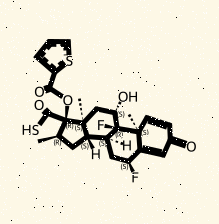 C[C@@H]1C[C@H]2[C@@H]3C[C@H](F)C4=CC(=O)C=C[C@]4(C)[C@@]3(F)[C@@H](O)C[C@]2(C)[C@@]1(OC(=O)c1cccs1)C(=O)S